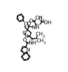 CC(=O)[C@H](CC(=O)O)NC(=O)C1(COc2ccccc2)CC([C@@H](NC(=O)c2ccc3ccccc3n2)C(C)C)=NO1